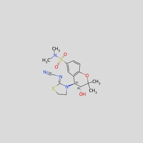 CN(C)S(=O)(=O)c1ccc2c(c1)[C@H](N1CCSC1=NC#N)[C@@H](O)C(C)(C)O2